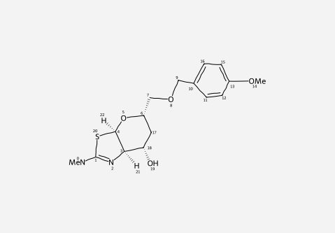 CNC1=N[C@H]2[C@H](O[C@H](COCc3ccc(OC)cc3)C[C@@H]2O)S1